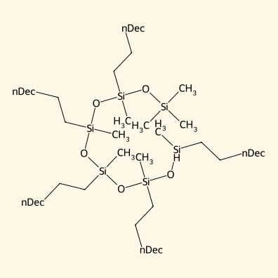 CCCCCCCCCCCC[SiH](C)O[Si](C)(CCCCCCCCCCCC)O[Si](C)(CCCCCCCCCCCC)O[Si](C)(CCCCCCCCCCCC)O[Si](C)(CCCCCCCCCCCC)O[Si](C)(C)C